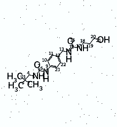 CC(C)(C)CNC(=O)Nc1ccc(CNC(=O)NCCCO)cc1